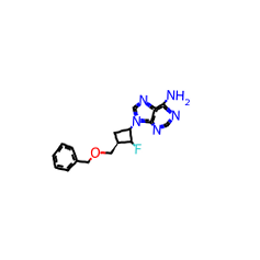 Nc1ncnc2c1ncn2[C@@H]1C[C@H](COCc2ccccc2)C1F